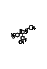 CN1CCCC(Cn2ccc3c(-c4ccc(C#N)c(F)c4)c(-c4ccc5c(cnn5C)c4)ncc32)CC1